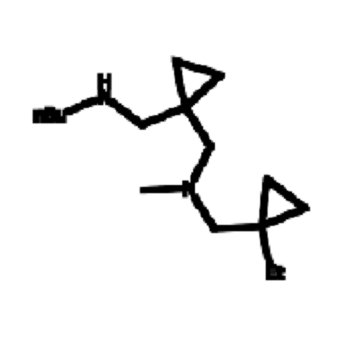 CCCCNCC1(CN(C)CC2(CC)CC2)CC1